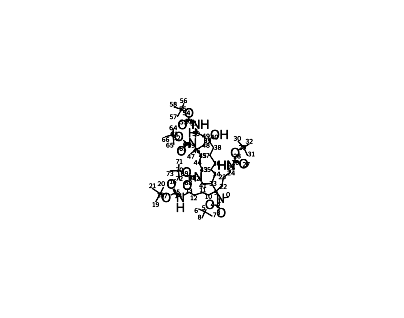 CN(C(=O)OC(C)(C)C)C(CCCCNC(=O)OC(C)(C)C)(CCCNC(=O)OC(C)(C)C)C(CCCCCCO)CN(CCCC(C)(CCCNC(=O)OC(C)(C)C)NC(=O)OC(C)(C)C)C(=O)OC(C)(C)C